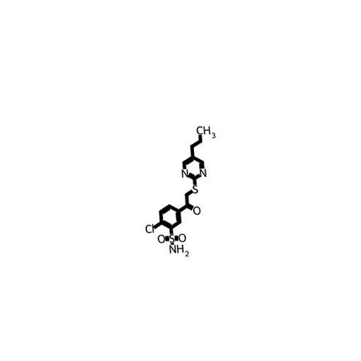 CCCc1cnc(SCC(=O)c2ccc(Cl)c(S(N)(=O)=O)c2)nc1